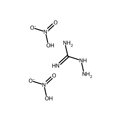 N=C(N)NN.O=[N+]([O-])O.O=[N+]([O-])O